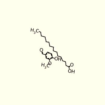 CCCCCCCCCCCCCCCC(=O)O.COc1cc(C=O)ccc1O